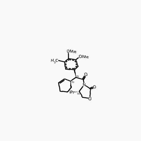 COc1cc([C@@H](C(=O)N2C(=O)OC[C@@H]2C(C)C)[C@@H]2C=CCCC2)cc(C)c1OC